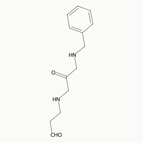 O=CCCNCC(=O)CNCc1ccccc1